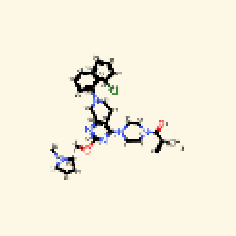 C=C(C(=O)N1CCN(c2nc(OC[C@@H]3CCCN3C)nc3c2CCN(c2cccc4cccc(Cl)c24)C3)CC1)C(F)(F)F